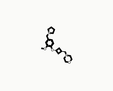 COc1cc(CN2CCCC2)ccc1O[C@H]1C[C@H](CN2CCOCC2)C1